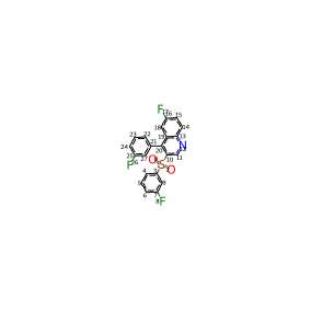 O=S(=O)(c1cccc(F)c1)c1cnc2ccc(F)cc2c1-c1cccc(F)c1